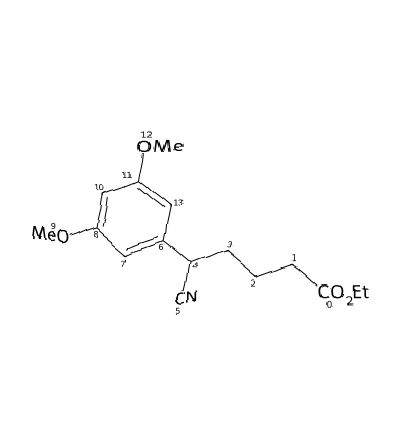 CCOC(=O)CCCC(C#N)c1cc(OC)cc(OC)c1